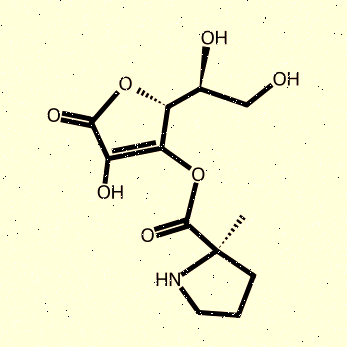 C[C@]1(C(=O)OC2=C(O)C(=O)O[C@@H]2[C@@H](O)CO)CCCN1